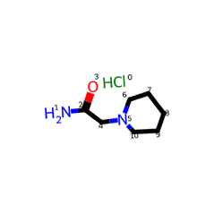 Cl.NC(=O)CN1CCCCC1